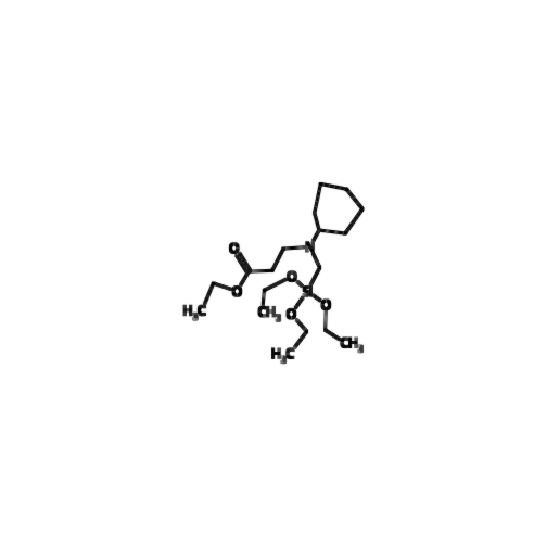 CCOC(=O)CCN(C[Si](OCC)(OCC)OCC)C1CCCCC1